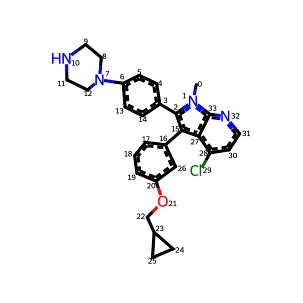 Cn1c(-c2ccc(N3CCNCC3)cc2)c(-c2cccc(OCC3CC3)c2)c2c(Cl)ccnc21